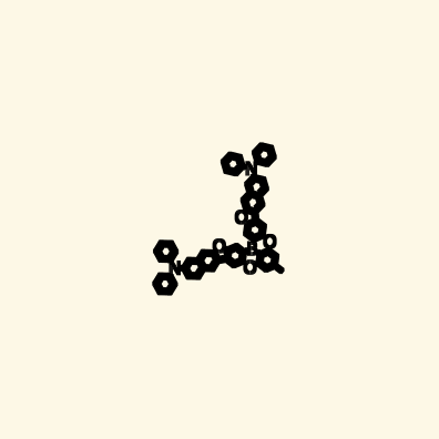 Cc1cc2c3c(c1)Oc1cc4c(cc1B3c1cc3oc5cc6cc(N(c7ccccc7)c7ccccc7)ccc6cc5c3cc1O2)oc1cc2cc(N(c3ccccc3)c3ccccc3)ccc2cc14